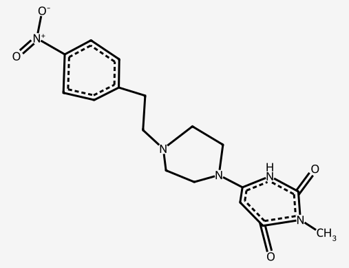 Cn1c(=O)cc(N2CCN(CCc3ccc([N+](=O)[O-])cc3)CC2)[nH]c1=O